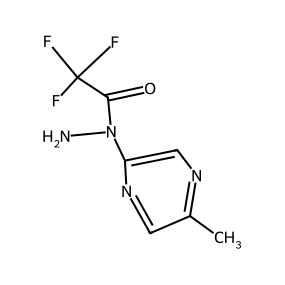 Cc1cnc(N(N)C(=O)C(F)(F)F)cn1